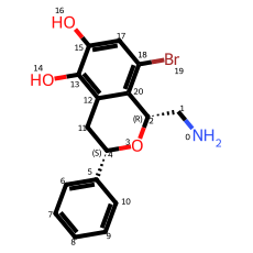 NC[C@@H]1O[C@H](c2ccccc2)Cc2c(O)c(O)cc(Br)c21